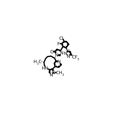 C[C@@H]1CCC[C@H](n2cnc(-c3c(-n4cc(C(F)(F)F)nn4)ccc(Cl)c3F)cc2=O)c2cc(ccn2)-c2c(cnn2C)NC1